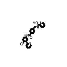 O=C(Nc1ccc(Cl)c(-c2ccccn2)c1)c1ccc(CNC(O)c2ccccn2)cc1